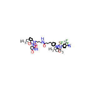 Cc1cccc(NCCCCNC(=O)CCCc2ccc(N3C(=S)N(c4ccc(C#N)c(C(F)(F)F)c4F)C(=O)C3(C)C)cc2)c1C(=O)N(C=O)C1CCC(=O)NC1=O